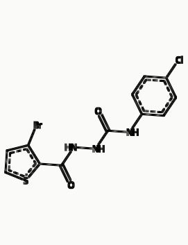 O=C(NNC(=O)c1sccc1Br)Nc1ccc(Cl)cc1